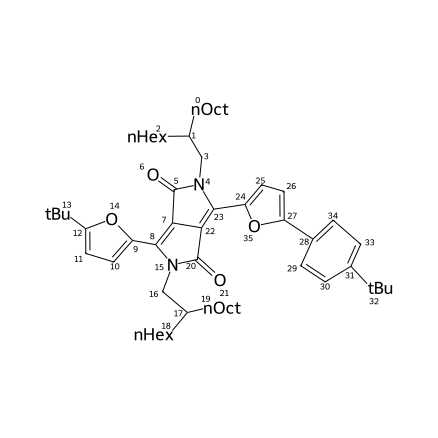 CCCCCCCCC(CCCCCC)CN1C(=O)C2=C(c3ccc(C(C)(C)C)o3)N(CC(CCCCCC)CCCCCCCC)C(=O)C2=C1c1ccc(-c2ccc(C(C)(C)C)cc2)o1